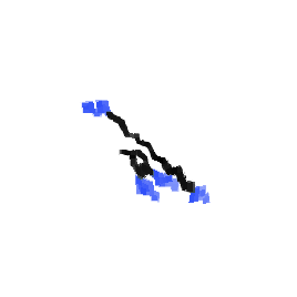 Cc1ccc(N)c(N)c1.NCCCCCCCCCCCCN